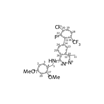 COc1ccc(CNc2nnc(C)c3cc(-c4c(C(F)(F)F)ccc(Cl)c4F)ccc23)c(OC)c1